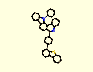 c1ccc(-n2c3ccccc3c3ccc4c(-c5ccc(-c6cccc7c6sc6ccccc67)cc5)nc5ccccc5c4c32)cc1